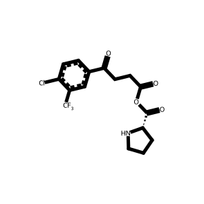 O=C(CCC(=O)c1ccc(Cl)c(C(F)(F)F)c1)OC(=O)[C@@H]1CCCN1